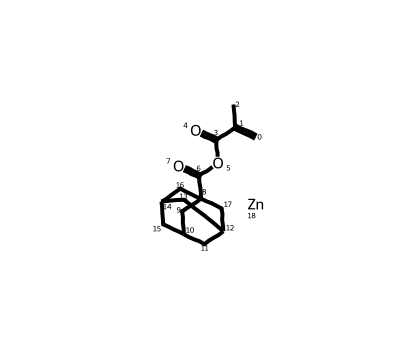 C=C(C)C(=O)OC(=O)C12CC3CC(CC(C3)C1)C2.[Zn]